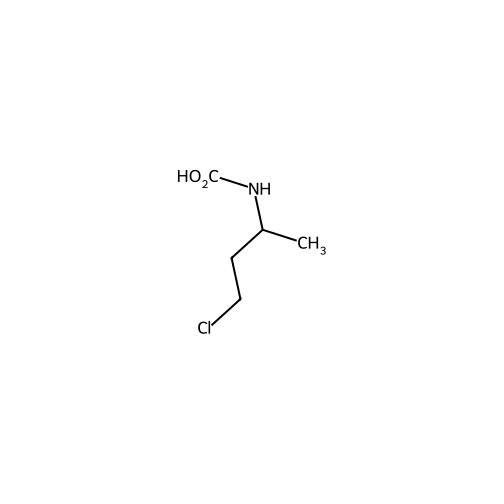 CC(CCCl)NC(=O)O